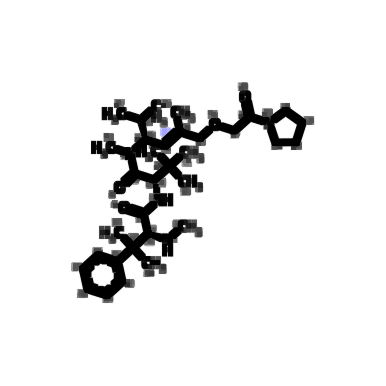 CN[C@H](C(=O)N[C@H](C(=O)N(C)[C@H](/C=C(\C)COCC(=O)N1CCCC1)C(C)C)C(C)(C)C)C(C)(C)c1ccccc1